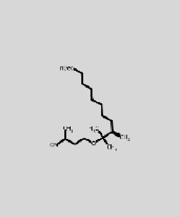 C=C(CCCCCCCCCCCCCCCCC)C(C)(C)OCCC(C)N=O